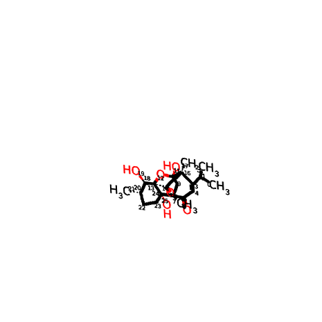 CC(C)C1=CC(=O)C2(C)C[C@]3(O)O[C@]4(C(=O)[C@]13C)[C@H](O)[C@@H](C)CC[C@]24O